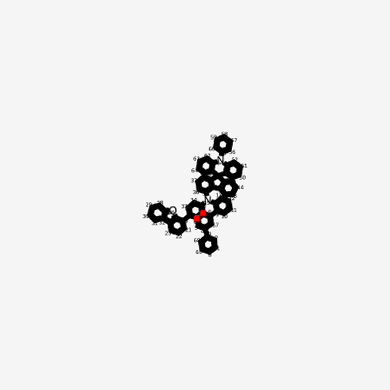 c1ccc(-c2cccc(-c3ccccc3N(c3ccc(-c4cccc5c4oc4ccccc45)cc3)c3cccc4c3-c3ccccc3C43c4ccccc4N(c4ccccc4)c4ccccc43)c2)cc1